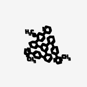 COc1cc(-c2ccccn2)ccc1-c1ccccc1-c1cc(-c2ccccc2-c2ccc(-c3nccn3C)cc2)cc(-c2ccccc2-c2ccc(-c3nccn3C)cc2)c1